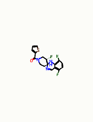 O=C(c1cccs1)N1CC[C@@]2(N=Cc3c(F)ccc(F)c3N2)[C@@H](F)C1